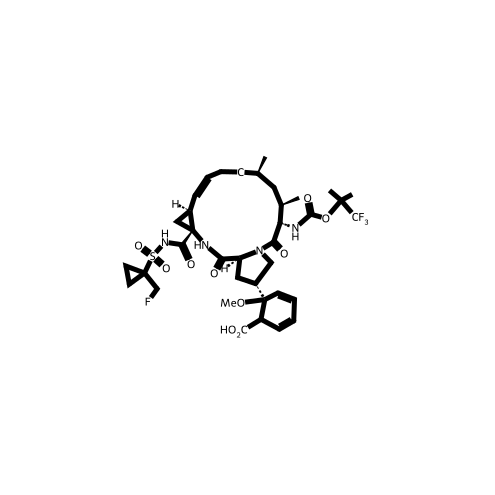 COC1([C@@H]2C[C@H]3C(=O)N[C@]4(C(=O)NS(=O)(=O)C5(CF)CC5)C[C@H]4/C=C\CC[C@@H](C)C[C@@H](C)[C@H](NC(=O)OC(C)(C)C(F)(F)F)C(=O)N3C2)C=CC=CC1C(=O)O